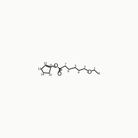 CCOCCCCCC(=O)OC1=CCCC1